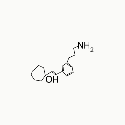 NCCCc1cccc(C=CC2(O)CCCCCC2)c1